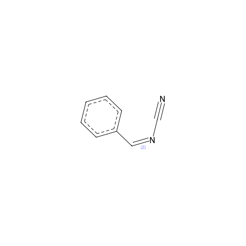 N#C/N=C\c1ccccc1